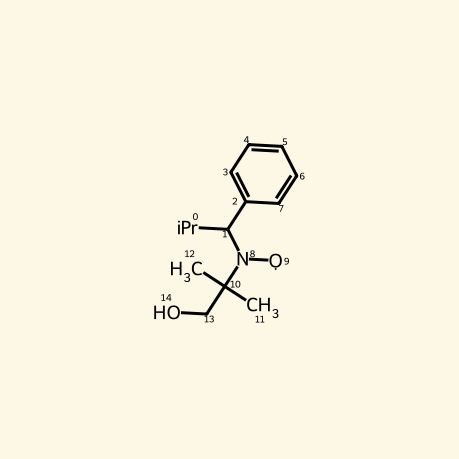 CC(C)C(c1ccccc1)N([O])C(C)(C)CO